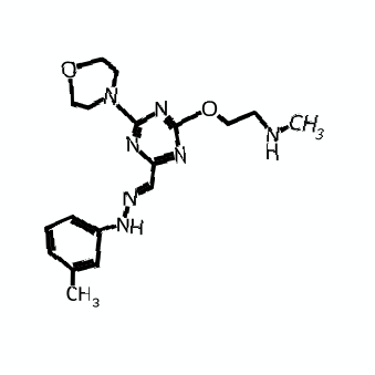 CNCCOc1nc(/C=N/Nc2cccc(C)c2)nc(N2CCOCC2)n1